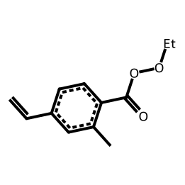 C=Cc1ccc(C(=O)OOCC)c(C)c1